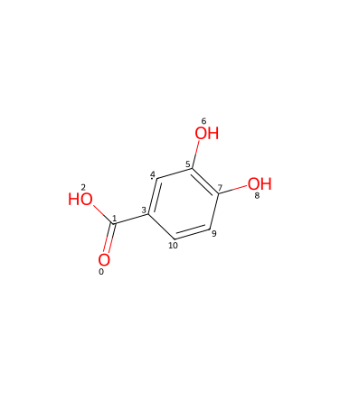 O=C(O)c1[c]c(O)c(O)cc1